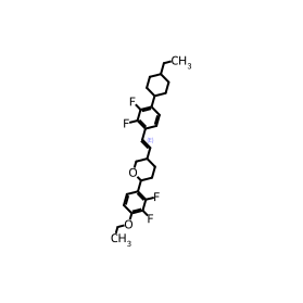 CCOc1ccc(C2CCC(/C=C/c3ccc(C4CCC(CC)CC4)c(F)c3F)CO2)c(F)c1F